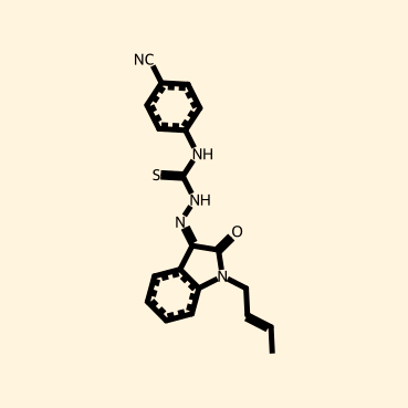 C/C=C/CN1C(=O)/C(=N\NC(=S)Nc2ccc(C#N)cc2)c2ccccc21